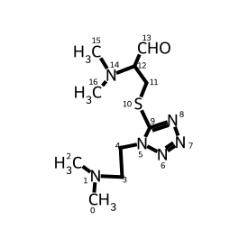 CN(C)CCn1nnnc1SCC(C=O)N(C)C